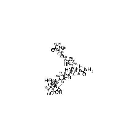 CC(=O)N[C@H](C(=O)O)[C@H](OP(=O)(O)OCc1ccc(NC(=O)C(CCCNC(N)=O)NC(=O)C(NC(=O)CCOCCN2C(=O)C=CC2=O)C(C)C)cc1)C(C)C